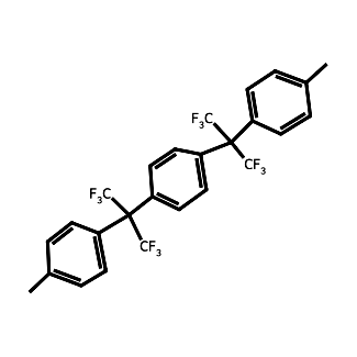 Cc1ccc(C(c2ccc(C(c3ccc(C)cc3)(C(F)(F)F)C(F)(F)F)cc2)(C(F)(F)F)C(F)(F)F)cc1